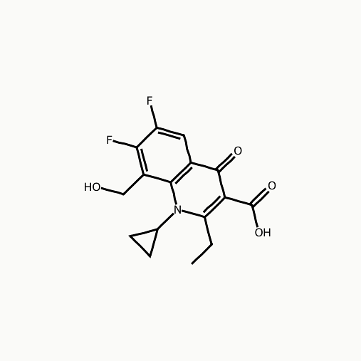 CCc1c(C(=O)O)c(=O)c2cc(F)c(F)c(CO)c2n1C1CC1